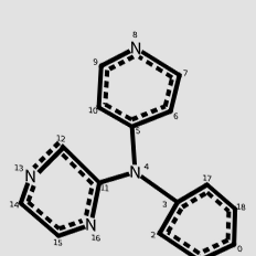 c1ccc(N(c2ccncc2)c2cnccn2)cc1